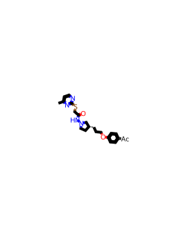 CC(=O)c1ccc(OCCC[C@@H]2CCN(NC(=O)CSc3nccc(C)n3)C2)cc1